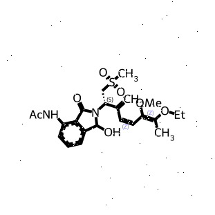 C=C(/C=C\C(OC)=C(/C)OCC)[C@@H](CS(C)(=O)=O)N1C(=O)c2c(NC(C)=O)cccc2C1O